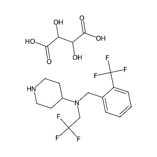 FC(F)(F)CN(Cc1ccccc1C(F)(F)F)C1CCNCC1.O=C(O)C(O)C(O)C(=O)O